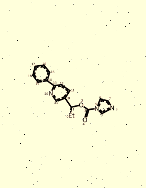 CCC(OC(=O)n1ccnc1)c1ccc(-c2ccccc2)nc1